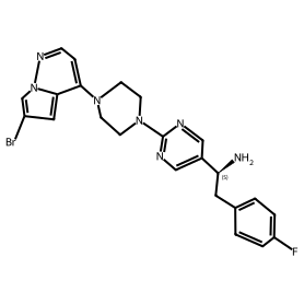 N[C@@H](Cc1ccc(F)cc1)c1cnc(N2CCN(c3ccnn4cc(Br)cc34)CC2)nc1